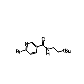 CC(C)(C)CCNC(=O)c1ccc(Br)nc1